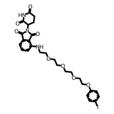 O=C1CCC(N2C(=O)c3cccc(NCCOCCOCCOCCOc4ccc(I)cc4)c3C2=O)C(=O)N1